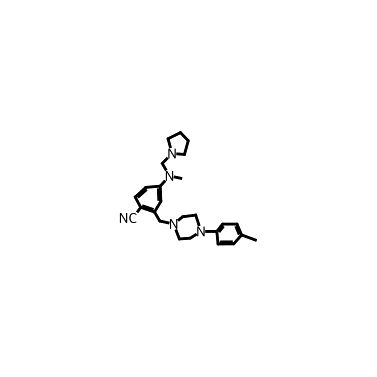 Cc1ccc(N2CCN(Cc3cc(N(C)CN4CCCC4)ccc3C#N)CC2)cc1